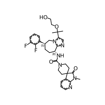 CN1C(=O)C2(CCN(C(=O)N[C@@H]3CC[C@@H](c4cccc(F)c4F)Cn4c(C(C)(C)OCCO)cnc43)CC2)c2cccnc21